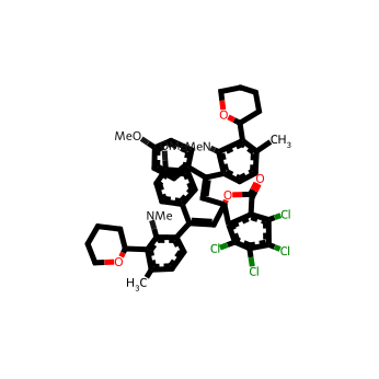 CNc1c(C(=CC2(C=C(c3ccc(OC)cc3)c3ccc(C)c(C4CCCCO4)c3NC)OC(=O)c3c(Cl)c(Cl)c(Cl)c(Cl)c32)c2ccc(OC)cc2)ccc(C)c1C1CCCCO1